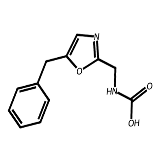 O=C(O)NCc1ncc(Cc2ccccc2)o1